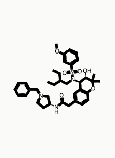 CCC(CC)CN([C@@H]1c2cc(CC(=O)N[C@@H]3CCN(Cc4ccccc4)C3)ccc2OC(C)(C)[C@H]1O)S(=O)(=O)c1cccc(OC)c1